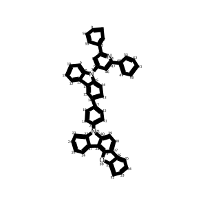 c1ccc(-c2cc(-n3c4ccccc4c4cc(-c5ccc(-n6c7ccccc7c7c8oc9ccccc9c8ccc76)cc5)ccc43)cc(-c3ccccc3)n2)cc1